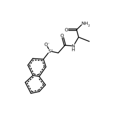 CC(NC(=O)C[S+]([O-])c1ccc2ccccc2c1)C(N)=O